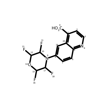 O=C(O)c1ccnc2ccc(N3C(F)C(F)OC(F)C3F)cc12